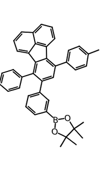 Cc1ccc(-c2cc(-c3cccc(B4OC(C)(C)C(C)(C)O4)c3)c(-c3ccccc3)c3c2-c2cccc4cccc-3c24)cc1